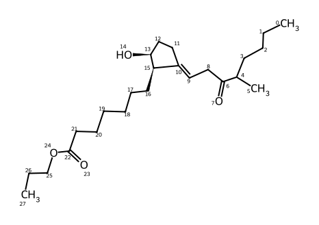 CCCCC(C)C(=O)CC=C1CC[C@H](O)[C@@H]1CCCCCCC(=O)OCCC